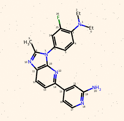 CCN(CC)c1ccc(-n2c(C)nc3ccc(-c4ccnc(N)c4)nc32)cc1F